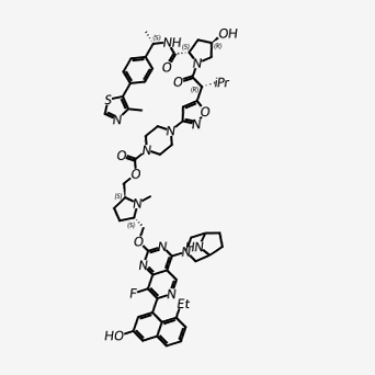 CCc1cccc2cc(O)cc(-c3ncc4c(N5CC6CCC(C5)N6)nc(OC[C@@H]5CC[C@@H](COC(=O)N6CCN(c7cc([C@H](C(=O)N8C[C@H](O)C[C@H]8C(=O)N[C@@H](C)c8ccc(-c9scnc9C)cc8)C(C)C)on7)CC6)N5C)nc4c3F)c12